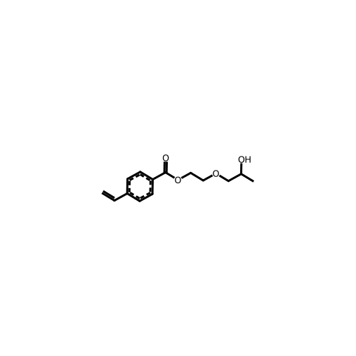 C=Cc1ccc(C(=O)OCCOCC(C)O)cc1